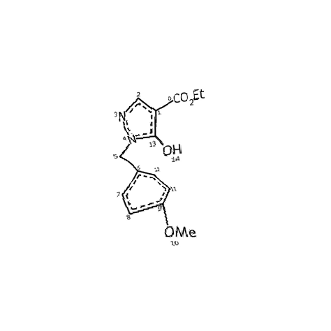 CCOC(=O)c1cnn(Cc2ccc(OC)cc2)c1O